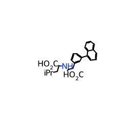 CC(C)CC(NC(Cc1cccc(-c2cccc3ccccc23)c1)C(=O)O)C(=O)O